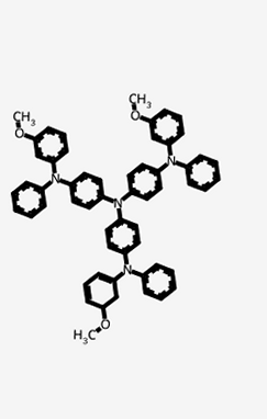 COc1cccc(N(c2ccccc2)c2ccc(N(c3ccc(N(C4=CC=CC(OC)C4)c4ccccc4)cc3)c3ccc(N(c4ccccc4)c4cccc(OC)c4)cc3)cc2)c1